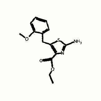 CCOC(=O)c1nc(N)sc1Cc1ccccc1OC